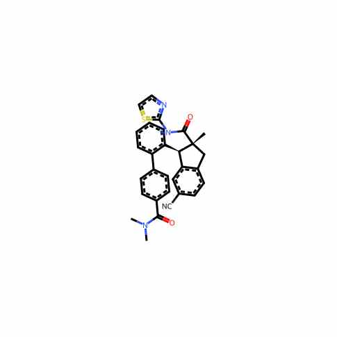 CN(C)C(=O)c1ccc(-c2ccccc2[C@@H]2c3cc(C#N)ccc3C[C@@]2(C)C(=O)Nc2nccs2)cc1